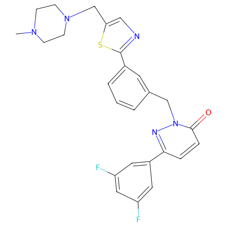 CN1CCN(Cc2cnc(-c3cccc(Cn4nc(-c5cc(F)cc(F)c5)ccc4=O)c3)s2)CC1